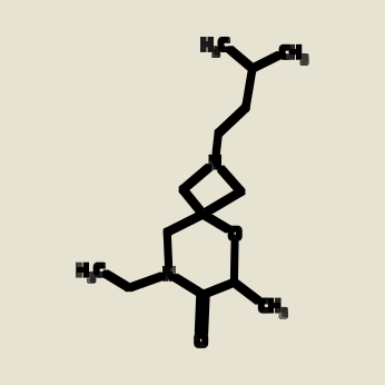 CCN1CC2(CN(CCC(C)C)C2)OC(C)C1=O